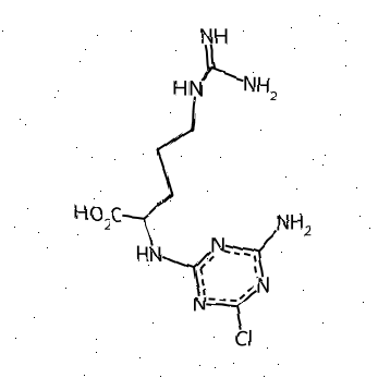 N=C(N)NCCCC(Nc1nc(N)nc(Cl)n1)C(=O)O